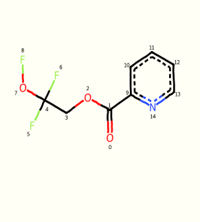 O=C(OCC(F)(F)OF)c1ccccn1